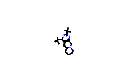 CC(C)(C)c1nc2c(c(C(C)(C)C)n1)CC1CCCCN1C2